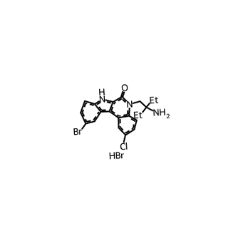 Br.CCC(N)(CC)Cn1c(=O)c2[nH]c3ccc(Br)cc3c2c2cc(Cl)ccc21